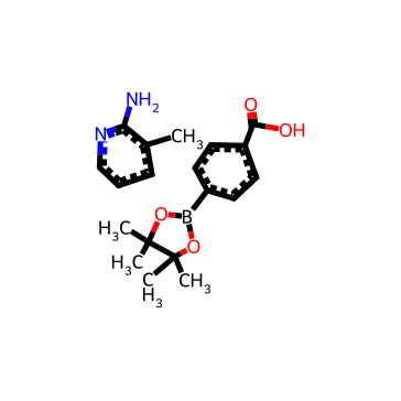 CC1(C)OB(c2ccc(C(=O)O)cc2)OC1(C)C.Cc1cccnc1N